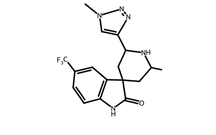 CC1CC2(CC(c3cn(C)nn3)N1)C(=O)Nc1ccc(C(F)(F)F)cc12